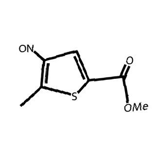 COC(=O)c1cc(N=O)c(C)s1